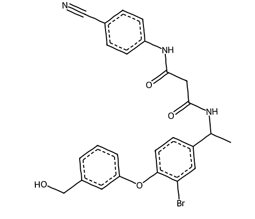 CC(NC(=O)CC(=O)Nc1ccc(C#N)cc1)c1ccc(Oc2cccc(CO)c2)c(Br)c1